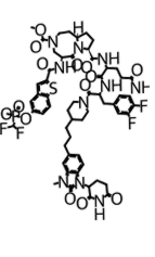 COC(=O)N1CC[C@H]2CC[C@@H](C(=O)NC(CCC(N)=O)C(=O)NC(Cc3ccc(F)c(F)c3)C(=O)N3CCC(CCCc4ccc5c(c4)n(C)c(=O)n5C4CCC(=O)NC4=O)CC3)N2C(=O)[C@@H](NC(=O)c2cc3cc(OP(=O)(O)C(F)F)ccc3s2)C1